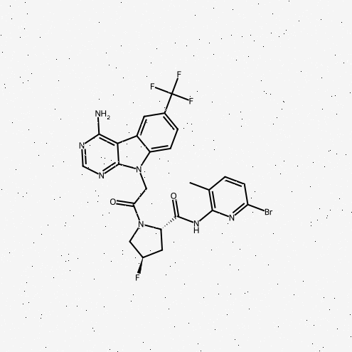 Cc1ccc(Br)nc1NC(=O)[C@@H]1C[C@@H](F)CN1C(=O)Cn1c2ccc(C(F)(F)F)cc2c2c(N)ncnc21